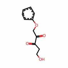 O=C(CCO)C(=O)COc1ccccc1